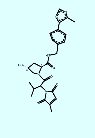 CC1=CC(=O)N(C(C(=O)N2C[C@H](O)C[C@H]2C(=O)NCc2ccc(-c3scnc3C)cc2)C(C)C)C1=O